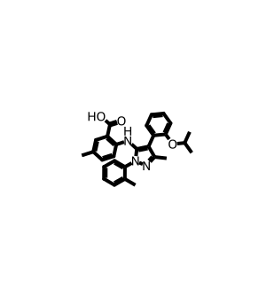 Cc1ccc(Nc2c(-c3ccccc3OC(C)C)c(C)nn2-c2ccccc2C)c(C(=O)O)c1